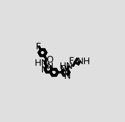 O=C(Nc1ncc2ccc(-c3cncc(NCC4(F)CNC4)n3)cc2n1)c1ccc(F)cc1